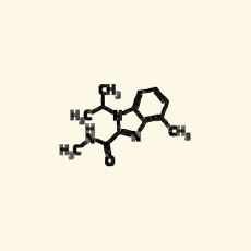 CNC(=O)c1nc2c(C)cccc2n1C(C)C